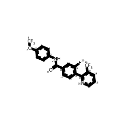 O=C(Nc1ccc(OC(F)(F)F)cc1)c1ccc(-c2ncccc2C(F)(F)F)c(F)c1